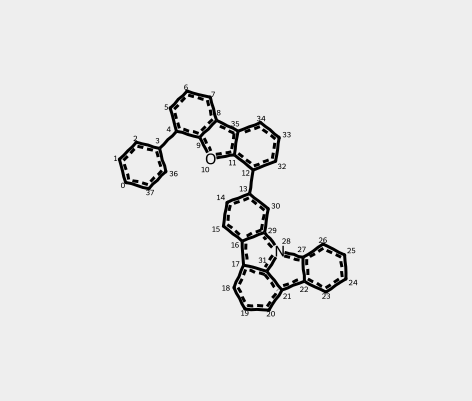 c1ccc(-c2cccc3c2oc2c(-c4ccc5c6cccc7c8ccccc8n(c5c4)c76)cccc23)cc1